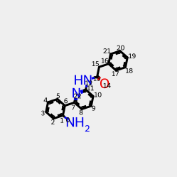 Nc1ccccc1-c1cccc(NC(=O)Cc2ccccc2)n1